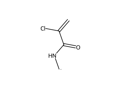 [CH2]NC(=O)C(=C)Cl